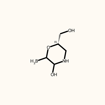 BC1O[C@H](CO)CNC1O